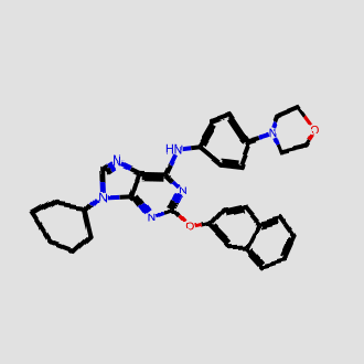 c1ccc2cc(Oc3nc(Nc4ccc(N5CCOCC5)cc4)c4ncn(C5CCCCC5)c4n3)ccc2c1